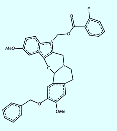 COc1ccc2c(c1)c1c(n2COC(=O)c2ccccc2F)CN2CCc3cc(OC)c(OCc4ccccc4)cc3C2C1